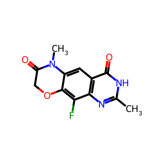 Cc1nc2c(F)c3c(cc2c(=O)[nH]1)N(C)C(=O)CO3